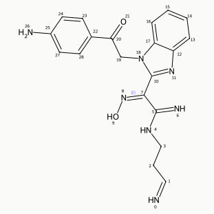 N=CCCNC(=N)/C(=N\O)c1nc2ccccc2n1CC(=O)c1ccc(N)cc1